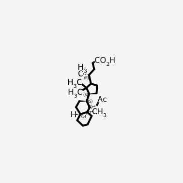 CC(=O)C[C@H]1[C@H]([C@@H]2CCC([C@H](C)CCC(=O)O)C2(C)C)CC[C@@H]2CCCC[C@@]21C